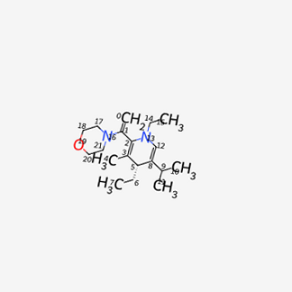 C=C(C1=C(C)[C@@H](CC)C(C(C)C)=CN1CC)N1CCOCC1